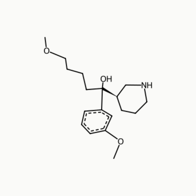 COCCCCC(O)(c1cccc(OC)c1)[C@@H]1CCCNC1